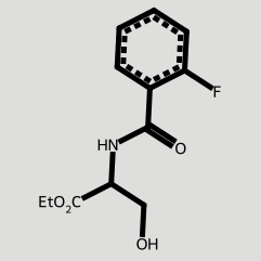 CCOC(=O)C(CO)NC(=O)c1ccccc1F